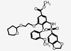 COC(=O)c1cc(NS(=O)(=O)c2ccc3c(c2)OCO3)c(Oc2ccccc2OC)c(OCCOC2CCCCO2)c1